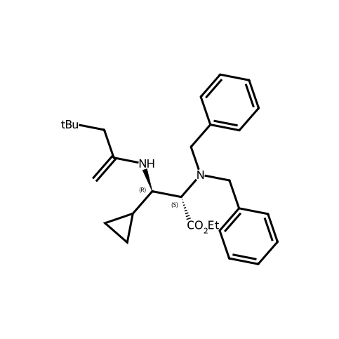 C=C(CC(C)(C)C)N[C@H](C1CC1)[C@@H](C(=O)OCC)N(Cc1ccccc1)Cc1ccccc1